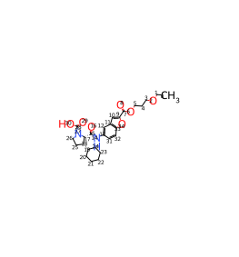 CCOCCCOC(=O)c1cc2cc(NC(=O)[C@@H]3[C@H](C4CCCCC4)CCN3C(=O)O)ccc2o1